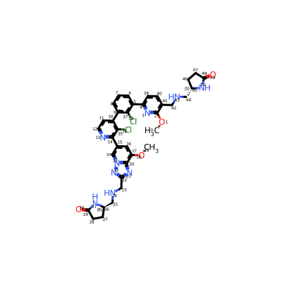 COc1nc(-c2cccc(-c3ccnc(-c4cc(OC)c5nc(CNC[C@H]6CCC(=O)N6)nn5c4)c3Cl)c2Cl)ccc1CNC[C@@H]1CCC(=O)N1